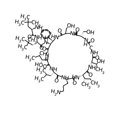 CC[C@H](C)[C@@H]1NC(=O)[C@@H](CCCN)NC(=O)[C@H](CC(C)C)NC(=O)[C@H]([C@H](O)C(C)C)NC(=O)[C@@H](NC(=O)[C@H](CC(C)(C)C)NC(=O)[C@H](N)CC(C)(C)C)[C@@H](c2ccccc2)NC(=O)C(CO)NC(=O)[C@H](CO)NC(=O)CNC(=O)[C@H]([C@H](C)O)NC1=O